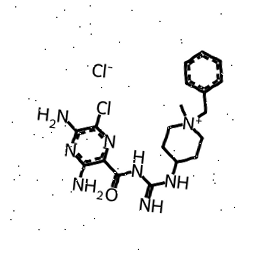 C[N+]1(Cc2ccccc2)CCC(NC(=N)NC(=O)c2nc(Cl)c(N)nc2N)CC1.[Cl-]